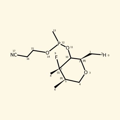 [2H]C[C@H]1OC[C@@H](C)[C@](C)(F)C1OP(C)OCCC#N